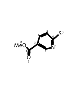 COC(=O)c1ccc([S])nc1